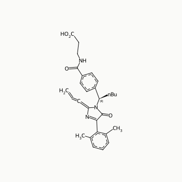 C=C=C=C1N=C(c2c(C)cccc2C)C(=O)N1[C@H](CCCC)c1ccc(C(=O)NCCC(=O)O)cc1